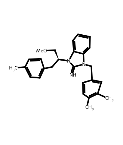 COC[C@H](Cc1ccc(C)cc1)n1c(=N)n(Cc2ccc(C)c(C)c2)c2ccccc21